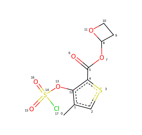 Cc1csc(C(=O)OC2CCO2)c1OS(=O)(=O)Cl